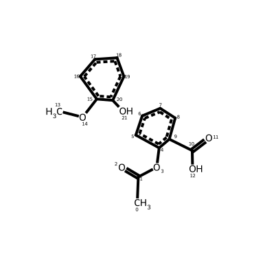 CC(=O)Oc1ccccc1C(=O)O.COc1ccccc1O